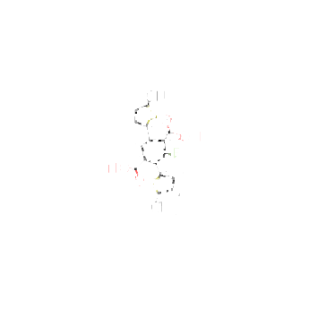 Cc1ccc(-c2cc(C(=O)O)c(-c3ccc(C)s3)c(F)c2C(=O)O)s1